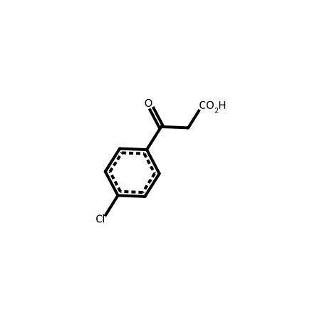 O=C(O)CC(=O)c1ccc(Cl)cc1